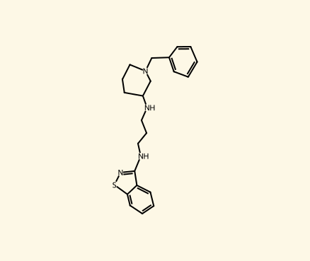 c1ccc(CN2CCCC(NCCCNc3nsc4ccccc34)C2)cc1